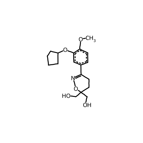 COc1ccc(C2=NOC(CO)(CO)CC2)cc1OC1CCCC1